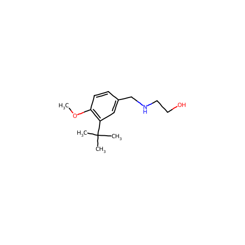 COc1ccc(CNCCO)cc1C(C)(C)C